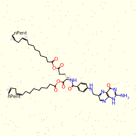 CCCCC/C=C\C/C=C\CCCCCCCC(=O)OC(=O)CC[C@H](NC(=O)c1ccc(NCc2cnc3[nH]c(N)nc(=O)c3n2)cc1)C(=O)OC(=O)CCCCCCC/C=C\C/C=C\CCCCC